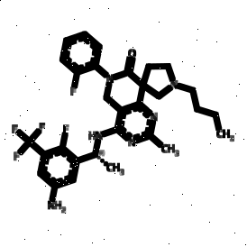 CCCCN1CCC2(C1)C(=O)N(c1ccccc1F)Cc1c(N[C@H](C)c3cc(N)cc(C(F)(F)F)c3F)nc(C)nc12